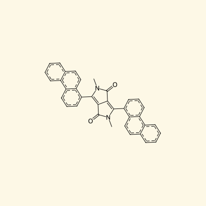 CN1C(=O)C2=C(c3cccc4c3ccc3ccccc34)N(C)C(=O)C2=C1c1cccc2c1ccc1ccccc12